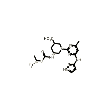 Cc1cc(Nc2cc[nH]n2)nc(N2CC(C(=O)O)C[C@@H](NC(=O)O[C@@H](C)C(F)(F)F)C2)n1